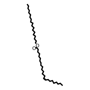 CCCCCCCC/C=C\CCCCCCCCCCCCCC(=O)OCCCCCCCCCCCCCCCCCCC